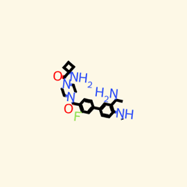 CNc1ccc(-c2ccc(C(=O)N3CCN(C(=O)C4(N)CCC4)CC3)c(F)c2)cc1C(C)N